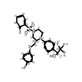 C[C@](O)(c1ccc(N2CCN(S(=O)(=O)C3=CC=CCC3=S)C[C@@H]2CSc2ccc(F)cc2)cc1)C(F)(F)F